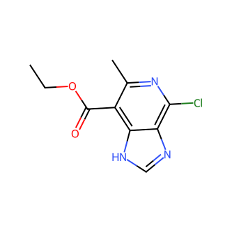 CCOC(=O)c1c(C)nc(Cl)c2nc[nH]c12